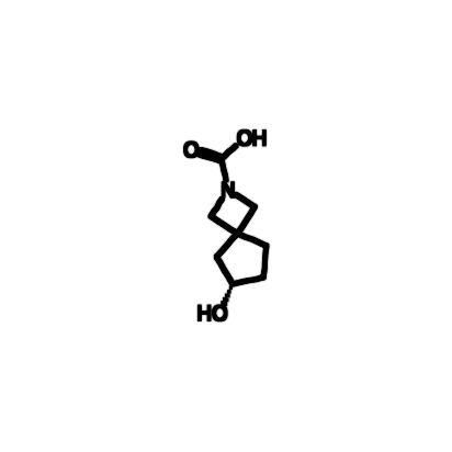 O=C(O)N1CC2(CC[C@H](O)C2)C1